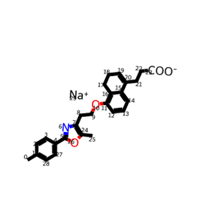 Cc1ccc(-c2nc(CCOc3cccc4c3CCC=C4CCC(=O)[O-])c(C)o2)cc1.[Na+]